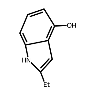 CCc1cc2c(O)cccc2[nH]1